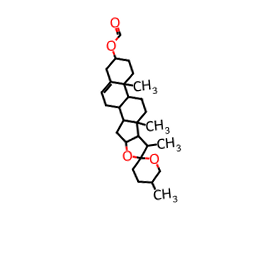 CC1CCC2(OC1)OC1CC3C4CC=C5CC(OC=O)CCC5(C)C4CCC3(C)C1C2C